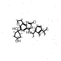 C[C@@H](Nc1nc(Cl)nc2c3c(c([C@]4(O)CC[C@H](O)CC4)cc12)OCC3)c1cccc(C(F)F)c1F